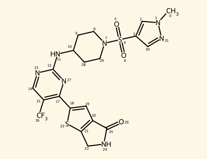 Cn1cc(S(=O)(=O)N2CCC(Nc3ncc(C(F)(F)F)c(-c4cc5c(s4)CNC5=O)n3)CC2)cn1